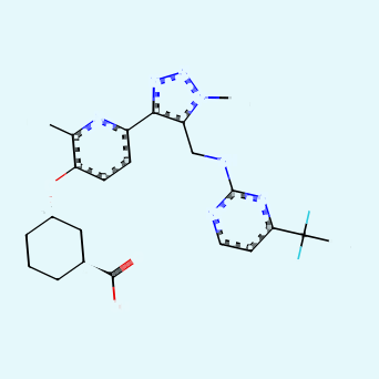 Cc1nc(-c2nnn(C)c2CNc2nccc(C(C)(F)F)n2)ccc1O[C@H]1CCC[C@H](C(=O)O)C1